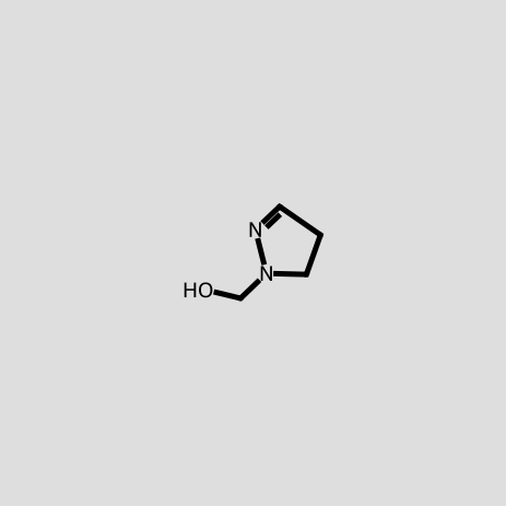 OCN1CCC=N1